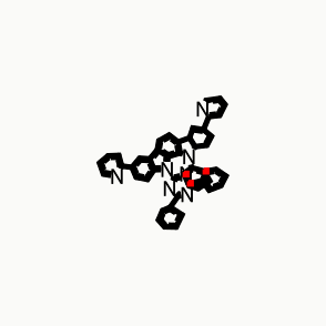 C1=CC2C(C=C1c1ccccn1)c1ccc3c4cc(-c5ccccn5)ccc4n(-c4nc(-c5ccccc5)nc(-c5ccccc5)n4)c3c1N2c1ccccc1